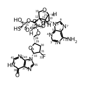 Nc1ncnc2c1ncn2[C@@H]1O[C@]2(COP(=O)(O)S)CO[C@@H]1[C@@H]2OP(=O)(S)OC[C@@H]1C[C@@H](F)[C@H](n2cnc3c(=O)[nH]cnc32)O1